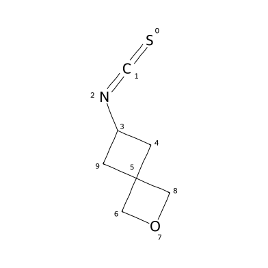 S=C=NC1CC2(COC2)C1